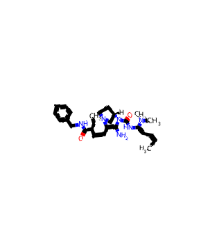 C/C=C\C=C(\NC(=O)N1C(N)=C(/C=C\C(CC)C(=O)NCc2ccccc2)N2CC[C@H]1C2)N(C)C